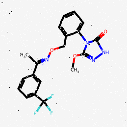 COc1n[nH]c(=O)n1-c1ccccc1CO/N=C(\C)c1cccc(C(F)(F)F)c1